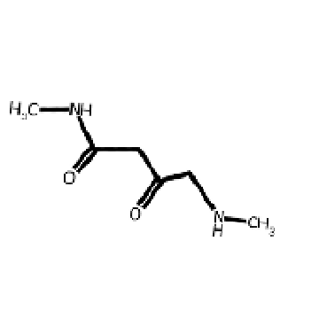 CNCC(=O)CC(=O)NC